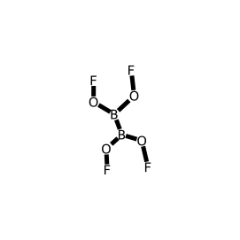 FOB(OF)B(OF)OF